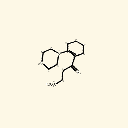 CCOC(=O)CCC(=O)C1=C(N2CCOCC2)CCCC1